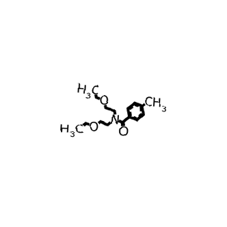 CCOCCN(CCOCC)C(=O)c1ccc(C)cc1